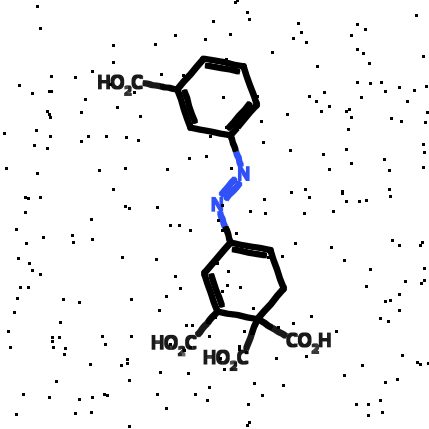 O=C(O)C1=CC(N=Nc2cccc(C(=O)O)c2)=CCC1(C(=O)O)C(=O)O